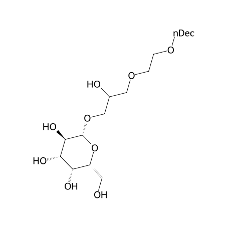 CCCCCCCCCCOCCOCC(O)CO[C@@H]1O[C@H](CO)[C@H](O)[C@H](O)[C@H]1O